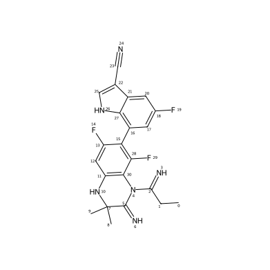 CCC(=N)N1C(=N)C(C)(C)Nc2cc(F)c(-c3cc(F)cc4c(C#N)c[nH]c34)c(F)c21